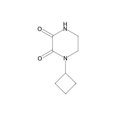 O=C1NCCN(C2CCC2)C1=O